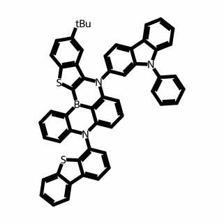 CC(C)(C)c1ccc2sc3c(c2c1)N(c1ccc2c4ccccc4n(-c4ccccc4)c2c1)c1cccc2c1B3c1ccccc1N2c1cccc2c1sc1ccccc12